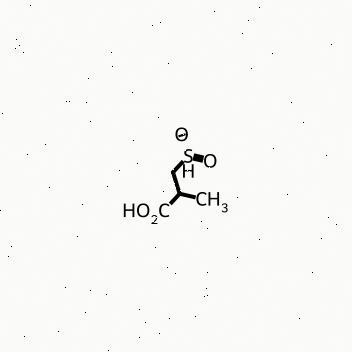 CC(C[SH](=O)=O)C(=O)O